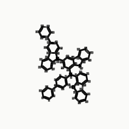 c1ccc(-c2ccc(N(c3cccc4c3oc3ccccc34)c3cc(-n4c5ccccc5c5cc(-c6ccccc6)ccc54)cc4c3sc3ccccc34)cc2)cc1